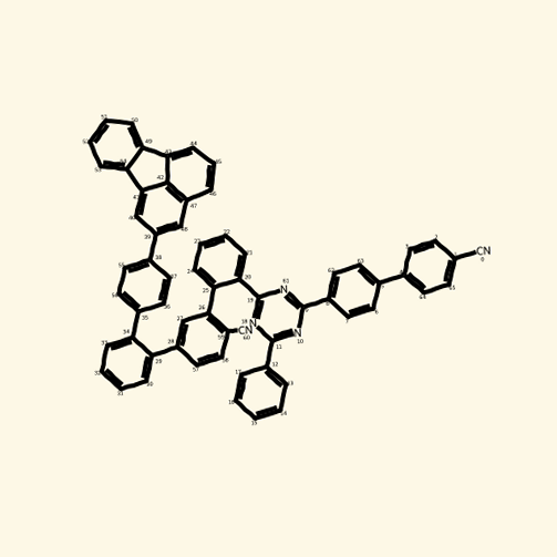 N#Cc1ccc(-c2ccc(-c3nc(-c4ccccc4)nc(-c4ccccc4-c4cc(-c5ccccc5-c5ccc(-c6cc7c8c(cccc8c6)-c6ccccc6-7)cc5)ccc4C#N)n3)cc2)cc1